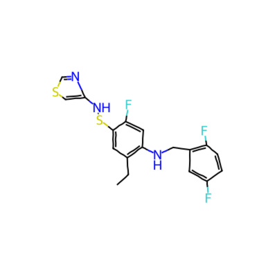 CCc1cc(SNc2cscn2)c(F)cc1NCc1cc(F)ccc1F